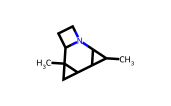 CC1C2C1N1CCC1C1(C)CC21